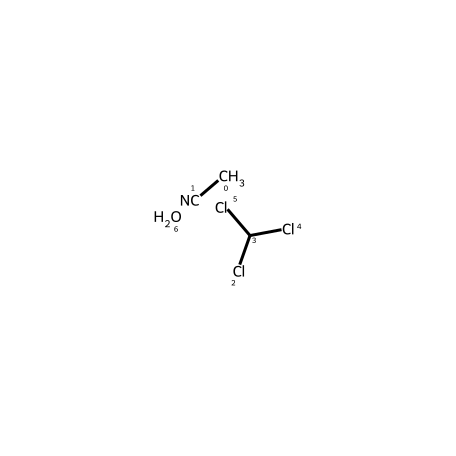 CC#N.ClC(Cl)Cl.O